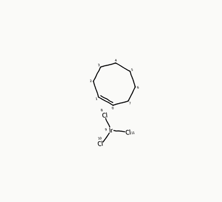 C1=CCCCCCC1.[Cl][Ir]([Cl])[Cl]